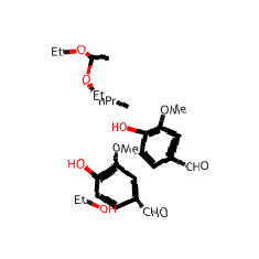 CCCC.CCO.CCOC(C)OCC.COc1cc(C=O)ccc1O.COc1cc(C=O)ccc1O